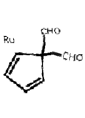 O=CC1(C=O)C=CC=C1.[Ru]